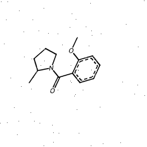 COc1ccccc1C(=O)N1CCCC1C